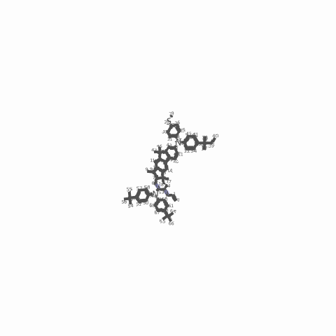 C=C/C=C(C)/C(=C\C1=C(C)c2cc3c(cc2C1(C)C)-c1ccc(N(c2ccc(SC)cc2)c2ccc(C(C)(C)CC)cc2)cc1C3(C)C)N(c1ccc(C(C)(C)C)cc1)c1ccc(C(C)(C)C)cc1